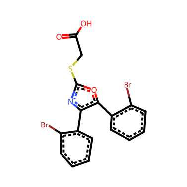 O=C(O)CSc1nc(-c2ccccc2Br)c(-c2ccccc2Br)o1